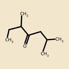 CCC(C)C(=O)CC(C)C